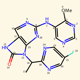 COc1ncncc1Nc1ncc2[nH]c(=O)n(C(C)c3ncc(F)cn3)c2n1